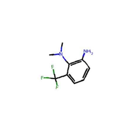 CN(C)c1c(N)cccc1C(F)(F)F